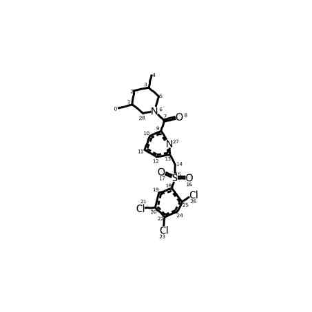 CC1CC(C)CN(C(=O)c2cccc(CS(=O)(=O)c3cc(Cl)c(Cl)cc3Cl)n2)C1